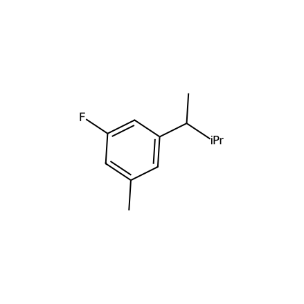 Cc1cc(F)cc(C(C)C(C)C)c1